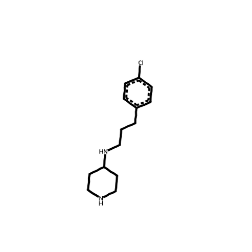 Clc1ccc(CCCNC2CCNCC2)cc1